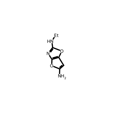 CCNc1nc2oc(N)cc2o1